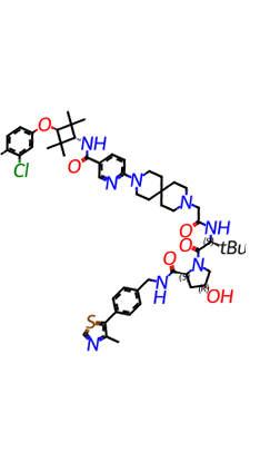 Cc1ncsc1-c1ccc(CNC(=O)[C@@H]2C[C@@H](O)CN2C(=O)[C@@H](NC(=O)CN2CCC3(CC2)CCN(c2ccc(C(=O)N[C@H]4C(C)(C)[C@H](Oc5ccc(C#N)c(Cl)c5)C4(C)C)cn2)CC3)C(C)(C)C)cc1